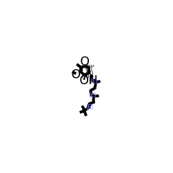 COC1=C(C)C(=O)[C@H](C)[C@@H](C/C=C(\C)CC/C=C(\C)C/C=C/C(C)(C)C)[C@H]1O